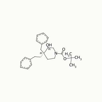 CC(C)(C)OC(=O)N1CC[C@@](CCc2ccccc2)(Cc2ccccc2)[C@@H](O)C1